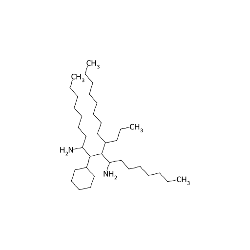 CCCCCCCCC(CCC)C(C(N)CCCCCCC)C(C(N)CCCCCCC)C1CCCCC1